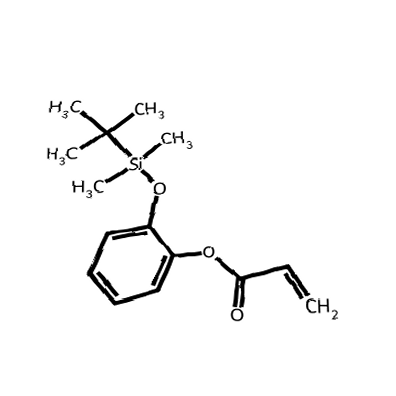 C=CC(=O)Oc1ccccc1O[Si](C)(C)C(C)(C)C